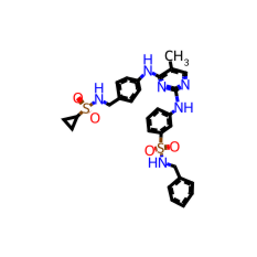 Cc1cnc(Nc2cccc(S(=O)(=O)NCc3ccccc3)c2)nc1Nc1ccc(CNS(=O)(=O)C2CC2)cc1